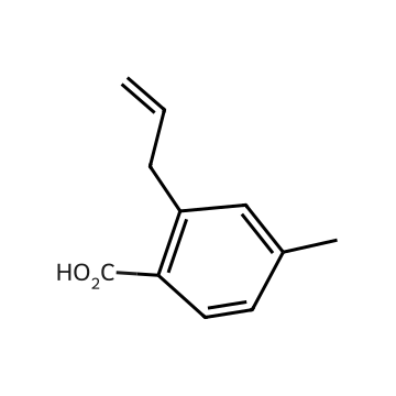 C=CCc1cc(C)ccc1C(=O)O